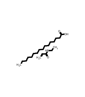 C=CC(=O)NCC.CCCCCCCCCCCCCCCC(=O)O